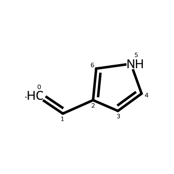 [CH]=Cc1cc[nH]c1